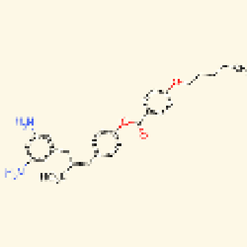 Nc1cc(N)cc(C/C(=C\c2ccc(OC(=O)c3ccc(OCCCCC(F)(F)F)cc3)cc2)C(=O)O)c1